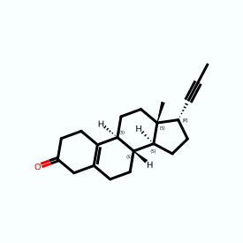 CC#C[C@@H]1CC[C@H]2[C@@H]3CCC4=C(CCC(=O)C4)[C@H]3CC[C@]12C